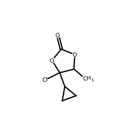 CC1OC(=O)OC1(Cl)C1CC1